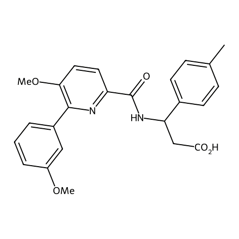 COc1cccc(-c2nc(C(=O)NC(CC(=O)O)c3ccc(C)cc3)ccc2OC)c1